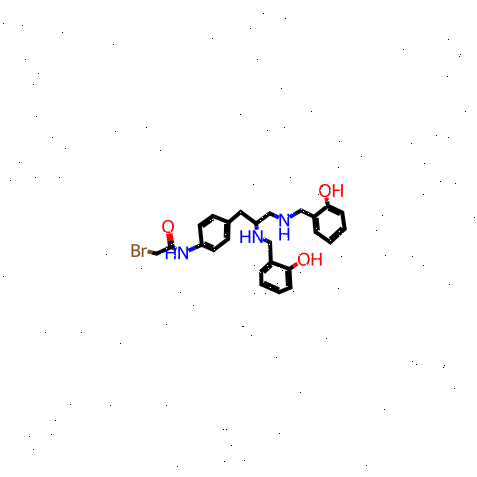 O=C(CBr)Nc1ccc(CC(CNCc2ccccc2O)NCc2ccccc2O)cc1